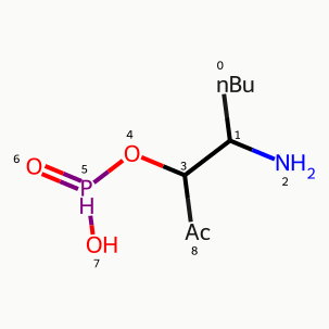 CCCCC(N)C(O[PH](=O)O)C(C)=O